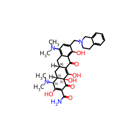 CN(C)c1cc(CN2CCc3ccccc3C2)c(O)c2c1C[C@H]1C[C@H]3[C@H](N(C)C)C(O)=C(C(N)=O)C(=O)[C@@]3(O)C(O)=C1C2=O